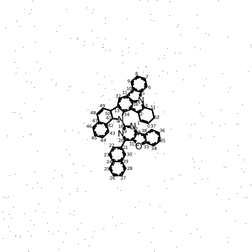 C1=Cc2c(n3c4ccccc4c4cc5c(c2c43)N(c2nc(-c3ccc4ccccc4c3)c3oc4ccccc4c3n2)C2c3ccccc3C=CC52)CC1